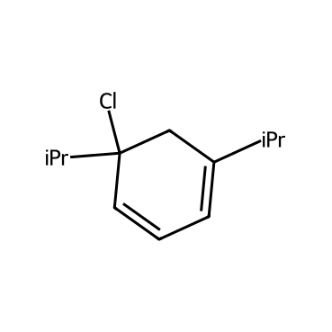 CC(C)C1=CC=CC(Cl)(C(C)C)C1